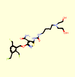 NC(=O)c1c(OCc2c(CF)ccc(CF)c2CF)nsc1NC(=O)NCCCCN(CCO)CCO